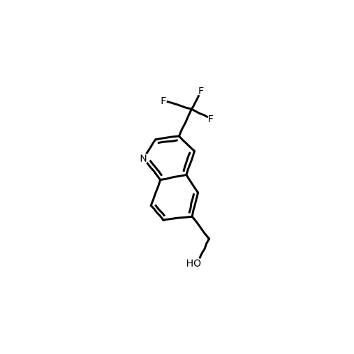 OCc1ccc2ncc(C(F)(F)F)cc2c1